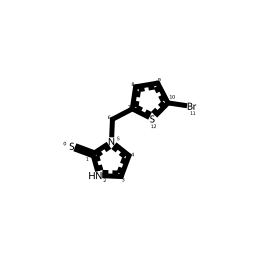 S=c1[nH]ccn1Cc1ccc(Br)s1